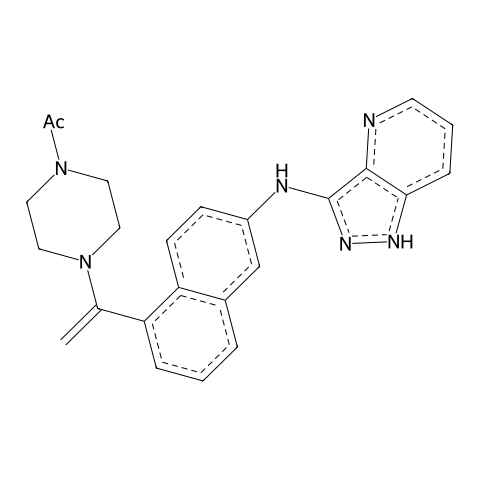 C=C(c1cccc2cc(Nc3n[nH]c4cccnc34)ccc12)N1CCN(C(C)=O)CC1